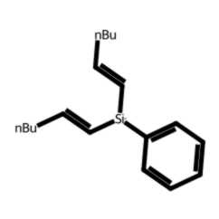 CCCC/C=C/[Si](/C=C/CCCC)c1ccccc1